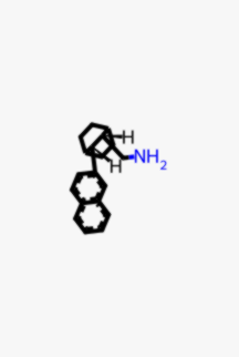 NC[C@H]1C2CCC(CC2)[C@H]1c1ccc2ccccc2c1